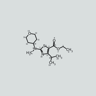 CCOC(=O)c1sc(N(C)C2CCOCC2)nc1C(C)C